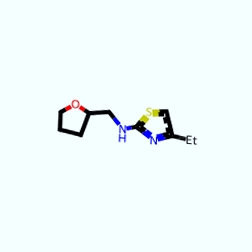 CCc1csc(NCC2CCCO2)n1